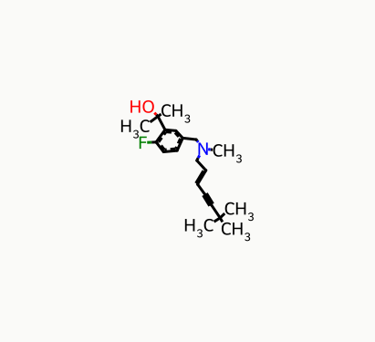 CN(CC=CC#CC(C)(C)C)Cc1ccc(F)c(C(C)(C)O)c1